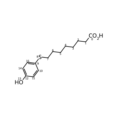 O=C(O)CCCCCCCSc1ccc(O)cc1